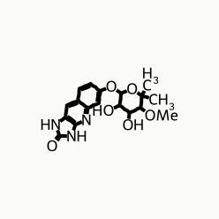 COC1C(O)C(O)C(Oc2ccc3cc4[nH]c(=O)[nH]c4nc3c2)OC1(C)C